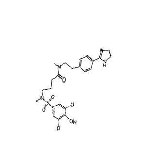 CN(CCc1ccc(C2=NCCN2)cc1)C(=O)CCCN(C)S(=O)(=O)c1cc(Cl)c(O)c(Cl)c1